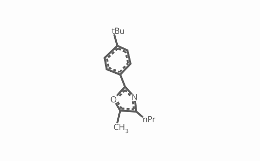 CCCc1nc(-c2ccc(C(C)(C)C)cc2)oc1C